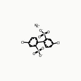 O=S(=O)([O-])c1cc(Cl)ccc1-c1ccc(Cl)cc1S(=O)(=O)[O-].[K+].[K+]